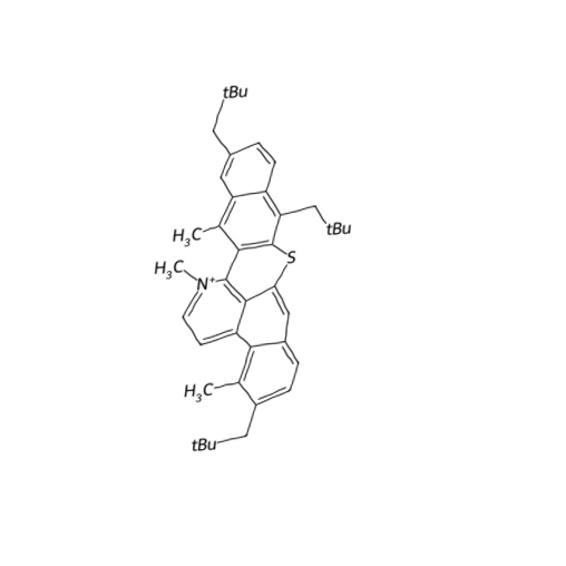 Cc1c2c(c(CC(C)(C)C)c3ccc(CC(C)(C)C)cc13)Sc1cc3ccc(CC(C)(C)C)c(C)c3c3cc[n+](C)c-2c13